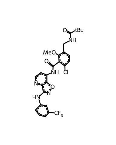 COc1c(CNC(=O)C(C)(C)C)ccc(Cl)c1C(=O)Nc1ccnc2c(Nc3cccc(C(F)(F)F)c3)noc12